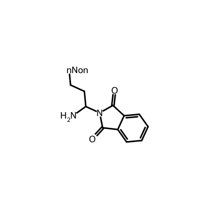 CCCCCCCCCCCC(N)N1C(=O)c2ccccc2C1=O